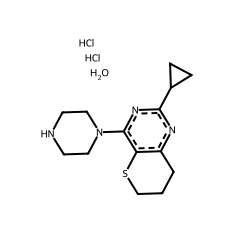 C1CSc2c(nc(C3CC3)nc2N2CCNCC2)C1.Cl.Cl.O